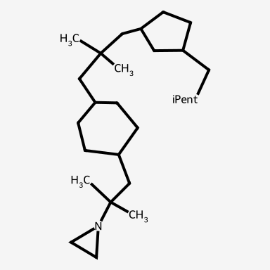 CCCC(C)CC1CCC(CC(C)(C)CC2CCC(CC(C)(C)N3CC3)CC2)C1